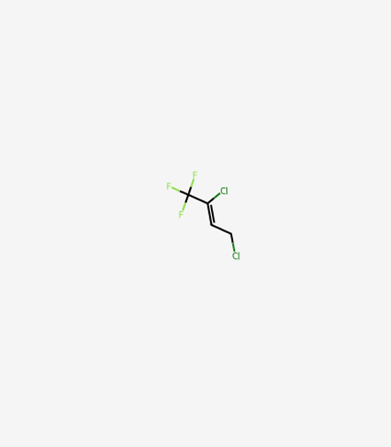 FC(F)(F)C(Cl)=CCCl